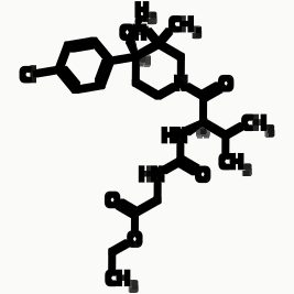 CCOC(=O)CNC(=O)N[C@@H](C(=O)N1CC[C@](O)(c2ccc(Cl)cc2)C(C)(C)C1)C(C)C